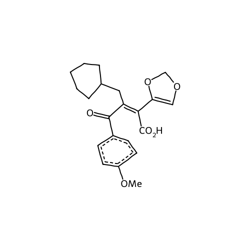 COc1ccc(C(=O)C(CC2CCCCC2)=C(C(=O)O)C2=COCO2)cc1